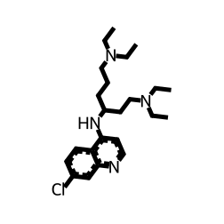 CCN(CC)CCCC(CCN(CC)CC)Nc1ccnc2cc(Cl)ccc12